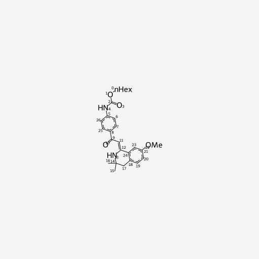 CCCCCCOC(=O)Nc1ccc(C(=O)/C=C2\NC(C)(C)Cc3ccc(OC)cc32)cc1